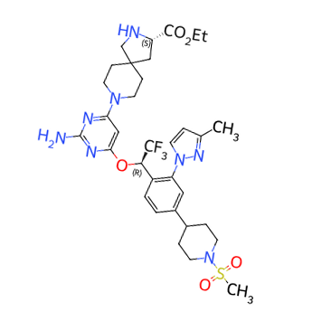 CCOC(=O)[C@@H]1CC2(CCN(c3cc(O[C@H](c4ccc(C5CCN(S(C)(=O)=O)CC5)cc4-n4ccc(C)n4)C(F)(F)F)nc(N)n3)CC2)CN1